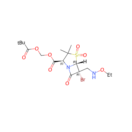 CCONC[C@@]1(Br)C(=O)N2[C@@H](C(=O)OCOC(=O)C(C)(C)C)C(C)(C)S(=O)(=O)[C@@H]21